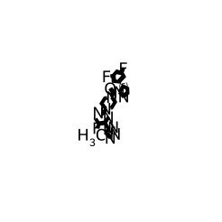 Cc1nnnn1-c1nc(N2CCN(C(=O)N3N=CC[C@H]3c3cc(F)cc(F)c3)CC2)ncc1F